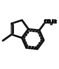 CCOC(=O)c1cccc2c1CC=C2C